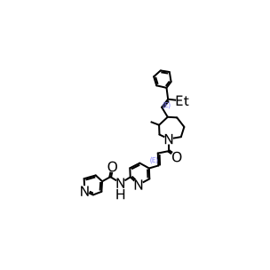 CC/C(=C\C1CCCN(C(=O)/C=C/c2ccc(NC(=O)c3ccncc3)nc2)CC1C)c1ccccc1